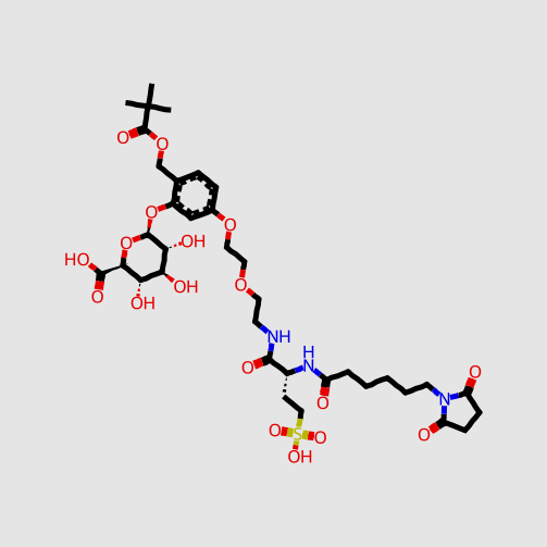 CC(C)(C)C(=O)OCc1ccc(OCCOCCNC(=O)[C@@H](CCS(=O)(=O)O)NC(=O)CCCCCN2C(=O)CCC2=O)cc1O[C@@H]1O[C@H](C(=O)O)[C@@H](O)[C@H](O)[C@H]1O